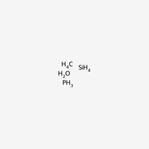 C.O.P.[SiH4]